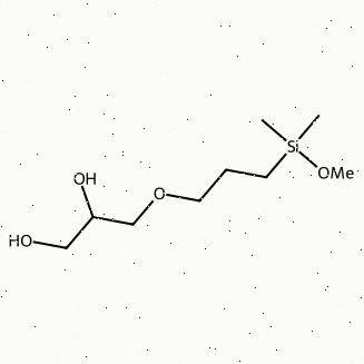 CO[Si](C)(C)CCCOCC(O)CO